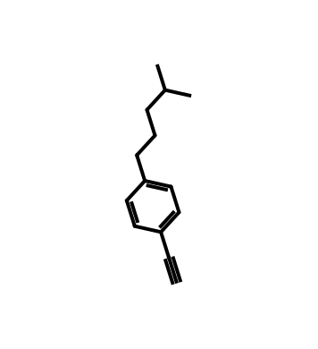 C#Cc1ccc(CCCC(C)C)cc1